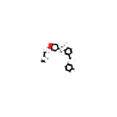 C[C@H]1CC2CC(S(=O)(=O)c3cc(C(=O)Nc4ccc(F)c(F)c4)ccc3Cl)CC1[C@@]2(O)CNC(=O)c1nccs1